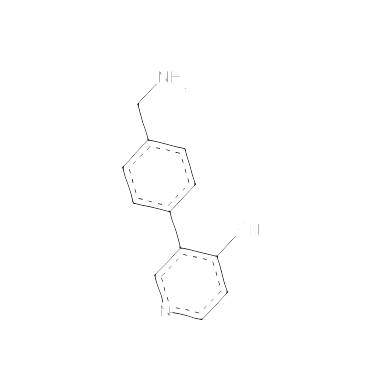 Cc1ccncc1-c1ccc(CN)cc1